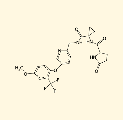 COc1ccc(Oc2ccc(CNC(=O)C3(NC(=O)C4CCC(=O)N4)CC3)nc2)c(C(F)(F)F)c1